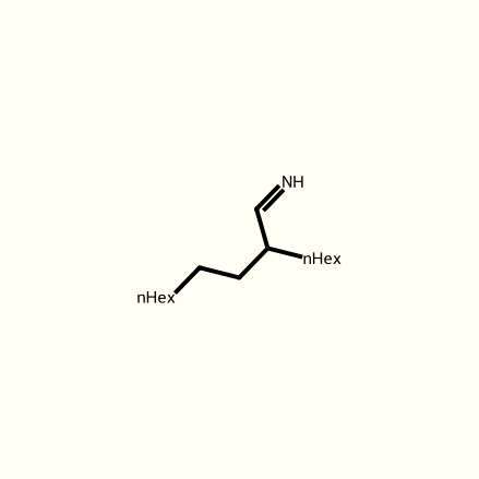 CCCCCCCCC(C=N)CCCCCC